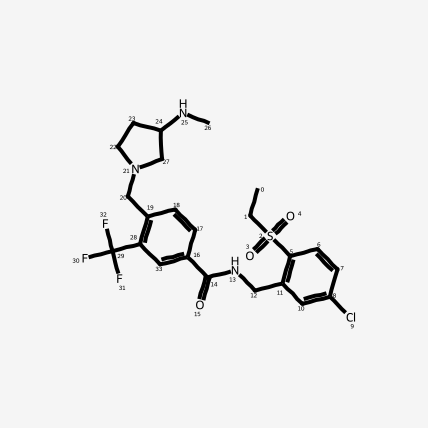 CCS(=O)(=O)c1ccc(Cl)cc1CNC(=O)c1ccc(CN2CCC(NC)C2)c(C(F)(F)F)c1